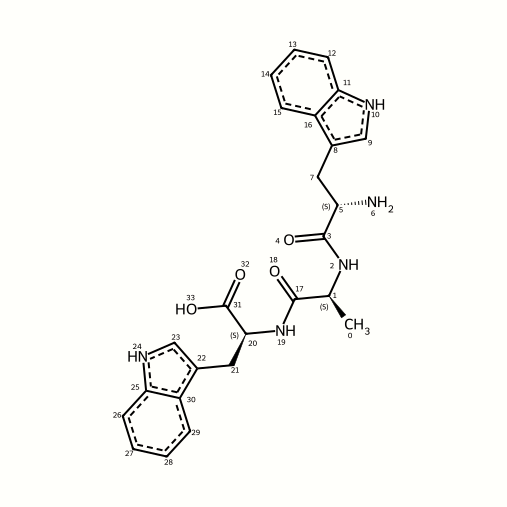 C[C@H](NC(=O)[C@@H](N)Cc1c[nH]c2ccccc12)C(=O)N[C@@H](Cc1c[nH]c2ccccc12)C(=O)O